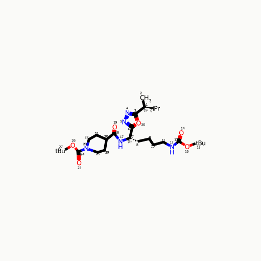 CC(C)[C@H](C)c1nnc([C@H](CCCCNC(=O)OC(C)(C)C)NC(=O)C2CCN(C(=O)OC(C)(C)C)CC2)o1